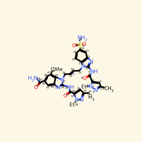 CCn1nc(C)cc1C(=O)Nc1nc2cc(S(N)(=O)=O)ccc2n1C/C=C/Cn1c(NC(=O)c2cc(C)nn2CC)nc2cc(C(N)=O)cc(OC)c21